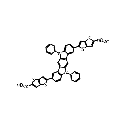 CCCCCCCCCCc1cc2sc(-c3ccc4c(c3)c3cc5c(cc3n4-c3ccccc3)c3cc(-c4cc6sc(CCCCCCCCCC)cc6s4)ccc3n5-c3ccccc3)cc2s1